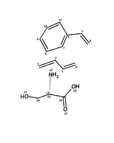 C=CC=C.C=Cc1ccccc1.N[C@@H](CO)C(=O)O